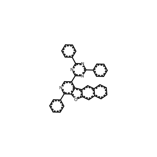 c1ccc(-c2nc(-c3ccccc3)nc(-c3cnc(-c4ccccc4)c4oc5cc6ccccc6cc5c34)n2)cc1